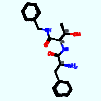 C[C@@H](O)[C@H](NC(=O)[C@@H](N)Cc1ccccc1)C(=O)NCc1ccccc1